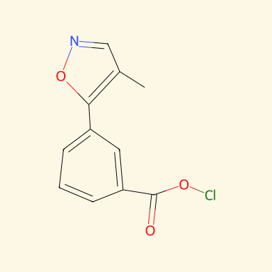 Cc1cnoc1-c1cccc(C(=O)OCl)c1